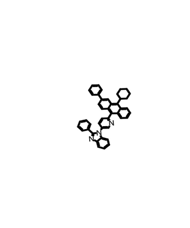 c1ccc(-c2ccc3c(-c4ccc(-n5c(-c6ccccc6)nc6ccccc65)cn4)c4ccccc4c(C4CCCCC4)c3c2)cc1